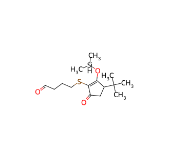 C[SiH](C)OC1=C(SCCCC=O)C(=O)CC1C(C)(C)C